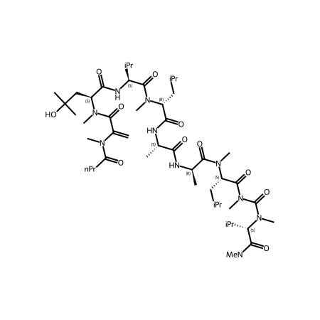 C=C(C(=O)N(C)[C@@H](CC(C)(C)O)C(=O)N[C@H](C(=O)N(C)[C@H](CC(C)C)C(=O)N[C@@H](C)C(=O)N[C@H](C)C(=O)N(C)[C@@H](CC(C)C)C(=O)N(C)C(=O)N(C)[C@H](C(=O)NC)C(C)C)C(C)C)N(C)C(=O)CCC